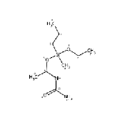 CCC[Si](C)(OCC)OC(C)NC(N)=O